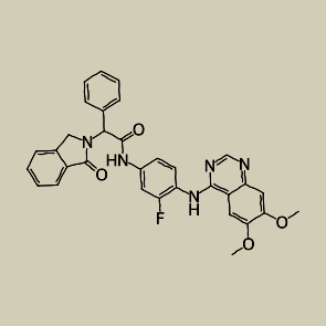 COc1cc2ncnc(Nc3ccc(NC(=O)C(c4ccccc4)N4Cc5ccccc5C4=O)cc3F)c2cc1OC